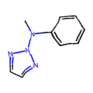 CN(c1ccccc1)n1nccn1